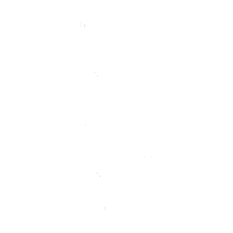 CC(C)CCNCCOCCN(CC(C)C)C(C)CO